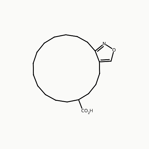 O=C(O)C1CCCCCCCCCCCCc2nocc2CCC1